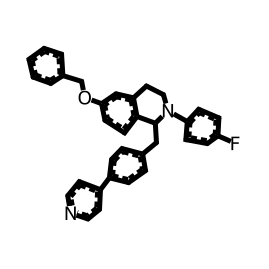 Fc1ccc(N2CCc3cc(OCc4ccccc4)ccc3C2Cc2ccc(-c3ccncc3)cc2)cc1